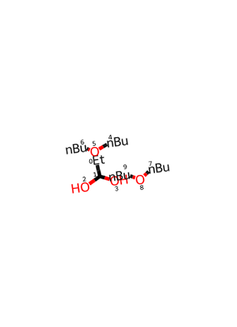 CCC(O)O.CCCCOCCCC.CCCCOCCCC